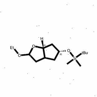 CCOC1CC2C[C@@H](O[Si](C)(C)C(C)(C)C)C[C@H]2O1